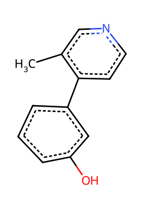 Cc1cnccc1-c1cccc(O)c1